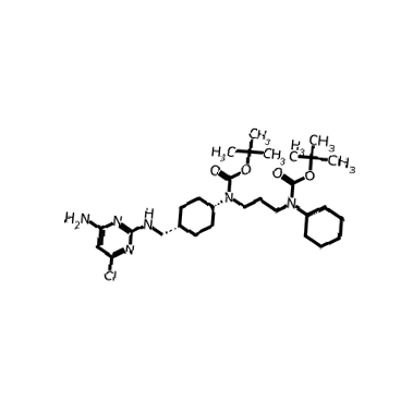 CC(C)(C)OC(=O)N(CCCN(C(=O)OC(C)(C)C)[C@H]1CC[C@@H](CNc2nc(N)cc(Cl)n2)CC1)C1CCCCC1